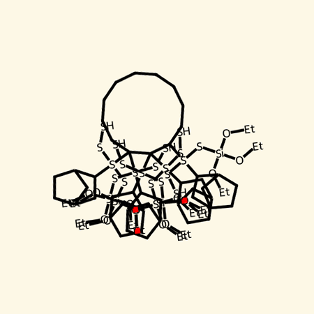 CCO[Si](OCC)(OCC)SS(SS)(C1CC2CCC1C2)C1CCCCCCCCCC(S(SS)(S[Si](OCC)(OCC)OCC)C2CC3CCC2C3)(S(SS)(S[Si](OCC)(OCC)OCC)C2CC3CCC2C3)C1(S(SS)(S[Si](OCC)(OCC)OCC)C1CC2CCC1C2)S(SS)(S[Si](OCC)(OCC)OCC)C1CC2CCC1C2